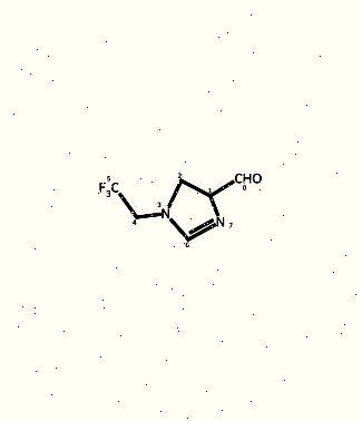 O=CC1CN(CC(F)(F)F)C=N1